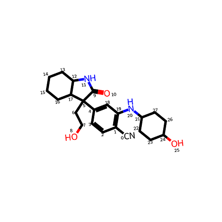 N#Cc1ccc(C2(CCO)C(=O)NC3CCCCC32)cc1NC1CCC(O)CC1